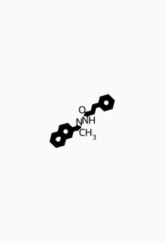 C/C(=N\NC(=O)CCc1ccccc1)c1ccc2ccccc2c1